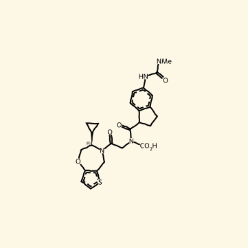 CNC(=O)Nc1ccc2c(c1)CCC2C(=O)N(CC(=O)N1Cc2sccc2OC[C@H]1C1CC1)C(=O)O